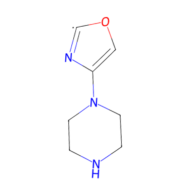 [c]1nc(N2CCNCC2)co1